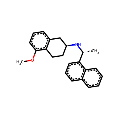 COc1cccc2c1CC[C@H](N[C@H](C)c1cccc3ccccc13)C2